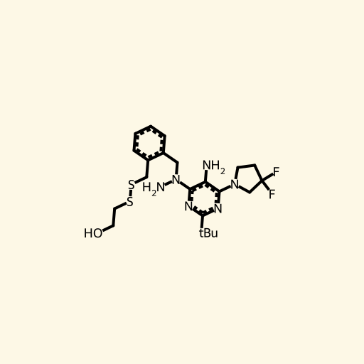 CC(C)(C)c1nc(N(N)Cc2ccccc2CSSCCO)c(N)c(N2CCC(F)(F)C2)n1